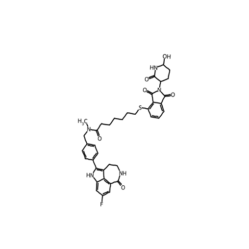 CN(Cc1ccc(-c2[nH]c3cc(F)cc4c3c2CCNC4=O)cc1)C(=O)CCCCCCSc1cccc2c1C(=O)N(C1CCC(O)NC1=O)C2=O